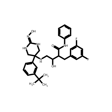 CC(C)(C)c1cccc(C2(NCC(O)C(Cc3cc(F)cc(F)c3)C(=O)Nc3ccccc3)CNC(=NO)NC2)c1